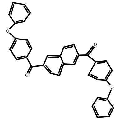 O=C(c1ccc(Oc2ccccc2)cc1)c1ccc2cc(C(=O)c3ccc(Oc4ccccc4)cc3)ccc2c1